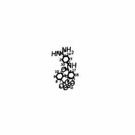 CS(=O)(=O)OC(=O)c1ccccc1-c1ccccc1C(=O)Nc1ccc(C(=N)N)cc1